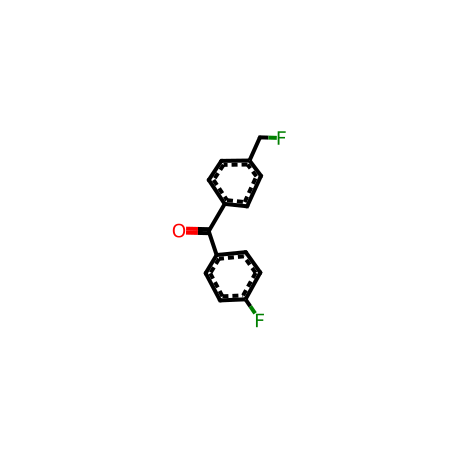 O=C(c1ccc(F)cc1)c1ccc(CF)cc1